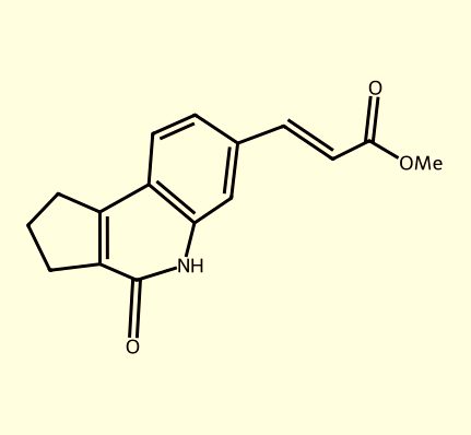 COC(=O)C=Cc1ccc2c3c(c(=O)[nH]c2c1)CCC3